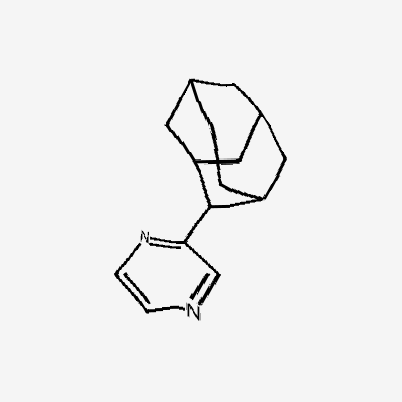 c1cnc(C2C3CC4CC(C3)CC2C4)cn1